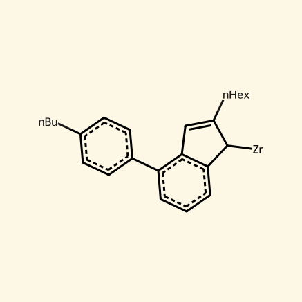 CCCCCCC1=Cc2c(-c3ccc(CCCC)cc3)cccc2[CH]1[Zr]